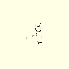 Cc1ncc(C(CN)NCC(C)C)cn1